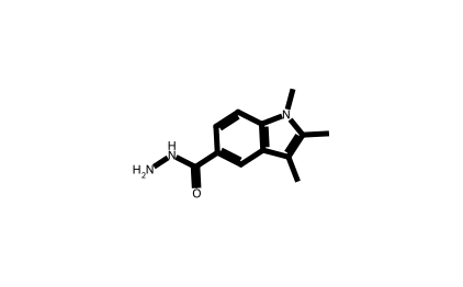 Cc1c(C)n(C)c2ccc(C(=O)NN)cc12